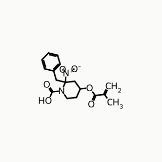 C=C(C)C(=O)OC1CCN(C(=O)O)C(Cc2ccccc2)([N+](=O)[O-])C1